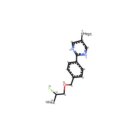 CCCCCCCc1cnc(-c2ccc(COCC(F)CCCCCC)cc2)nc1